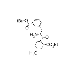 CCOC(=O)[C@H]1C[C@H](C)CCN1C(=O)[C@@H](N)CC1=CC=CN(C(=O)OC(C)(C)C)C1